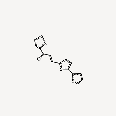 O=C(C=Cc1ccc(-c2cccs2)s1)c1cccs1